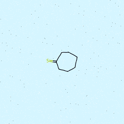 S=C1CCCCCC1